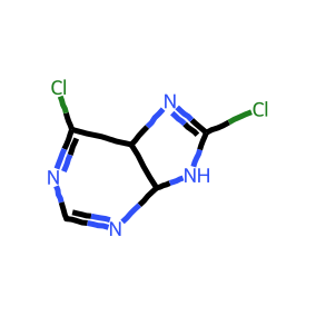 ClC1=NC2C(Cl)=NC=NC2N1